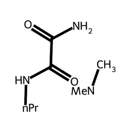 CCCNC(=O)C(N)=O.CNC